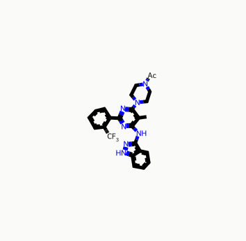 CC(=O)N1CCN(c2nc(-c3ccccc3C(F)(F)F)nc(Nc3n[nH]c4ccccc34)c2C)CC1